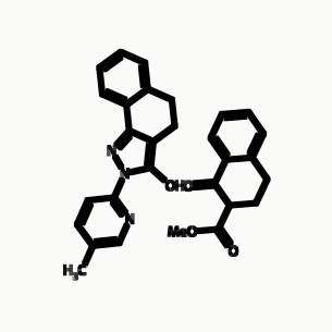 COC(=O)C1CCc2ccccc2C1=O.Cc1ccc(-n2nc3c(c2O)CCc2ccccc2-3)nc1